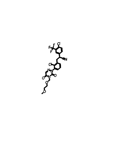 COCCOCn1c(=O)cnn(-c2cccc(CC(C#N)c3ccc(Cl)c(C(F)(F)F)c3)c2Cl)c1=O